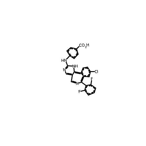 O=C(O)c1ccc(NC2=NC=C3C=NC(c4c(F)cccc4F)=c4cc(Cl)ccc4=C3N2)cc1